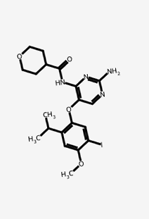 COc1cc(C(C)C)c(Oc2cnc(N)nc2NC(=O)C2CCOCC2)cc1I